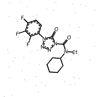 CCN(C(=O)n1nnn(-c2ccc(F)c(F)c2F)c1=O)C1CCCCC1